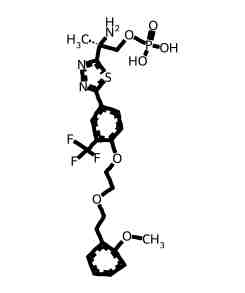 COc1ccccc1CCOCCOc1ccc(-c2nnc([C@@](C)(N)COP(=O)(O)O)s2)cc1C(F)(F)F